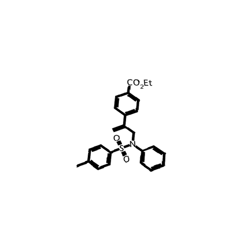 C=C(CN(c1ccccc1)S(=O)(=O)c1ccc(C)cc1)c1ccc(C(=O)OCC)cc1